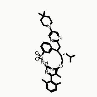 Cc1cccc(C)c1-c1nc2nc(c1C)OC[C@@H](CC(C)C)C(Cc1ncc(N3CCC(C)(C)CC3)cn1)c1cccc(c1)S(=O)(=O)N2